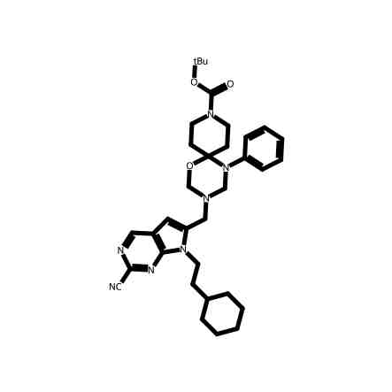 CC(C)(C)OC(=O)N1CCC2(CC1)OCN(Cc1cc3cnc(C#N)nc3n1CCC1CCCCC1)CN2c1ccccc1